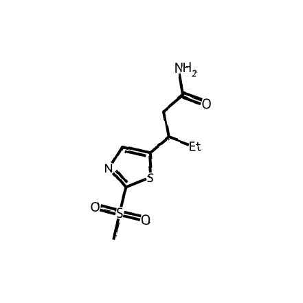 CC[C](CC(N)=O)c1cnc(S(C)(=O)=O)s1